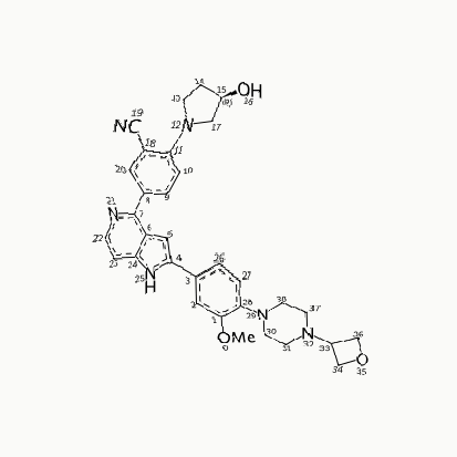 COc1cc(-c2cc3c(-c4ccc(N5CC[C@@H](O)C5)c(C#N)c4)nccc3[nH]2)ccc1N1CCN(C2COC2)CC1